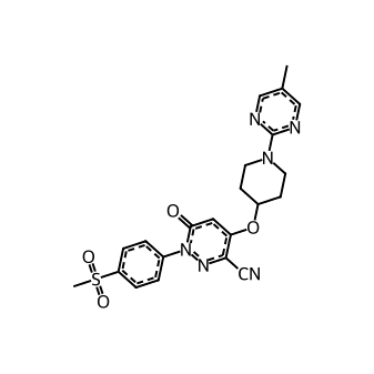 Cc1cnc(N2CCC(Oc3cc(=O)n(-c4ccc(S(C)(=O)=O)cc4)nc3C#N)CC2)nc1